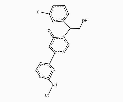 CCNc1nccc(-c2ccn(C(CO)c3cccc(Cl)c3)c(=O)c2)n1